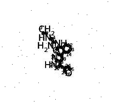 C=CCN/C=C(\N)NC(=O)C1C=CC=CC1c1cnc2[nH]cc(-c3ccoc3)c2c1